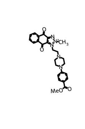 COC(=O)c1ccc(N2CCN(CCn3c4c(n[n+]3C)C(=O)c3ccccc3C4=O)CC2)cc1